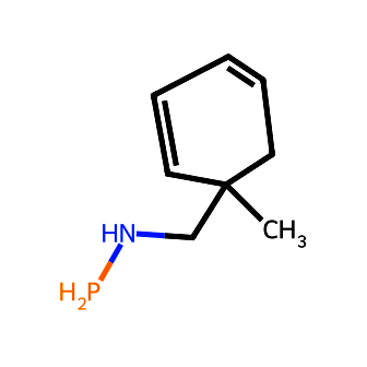 CC1(CNP)C=CC=CC1